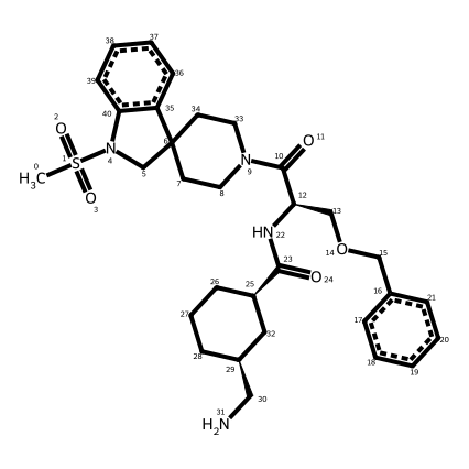 CS(=O)(=O)N1CC2(CCN(C(=O)[C@@H](COCc3ccccc3)NC(=O)[C@@H]3CCC[C@H](CN)C3)CC2)c2ccccc21